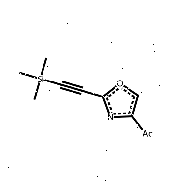 CC(=O)c1coc(C#C[Si](C)(C)C)n1